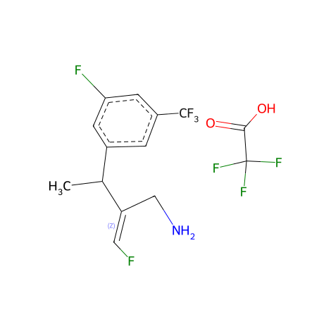 CC(/C(=C/F)CN)c1cc(F)cc(C(F)(F)F)c1.O=C(O)C(F)(F)F